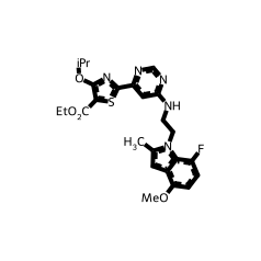 CCOC(=O)c1sc(-c2cc(NCCn3c(C)cc4c(OC)ccc(F)c43)ncn2)nc1OC(C)C